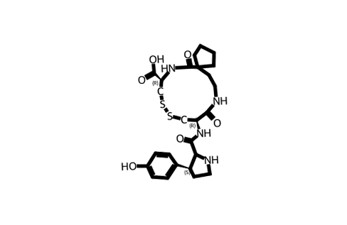 O=C(N[C@H]1CSSC[C@@H](C(=O)O)NC(=O)C2(CCCC2)CCNC1=O)C1NCC[C@H]1c1ccc(O)cc1